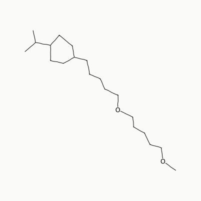 COCCCCCOCCCCCC1CCC(C(C)C)CC1